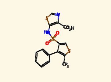 O=C(O)c1ncsc1NS(=O)(=O)c1csc(C(F)(F)F)c1-c1ccccc1